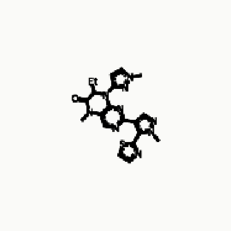 CCC1C(=O)N(C)c2cnc(-c3cnn(C)c3-c3nccs3)nc2N1c1ccn(C)n1